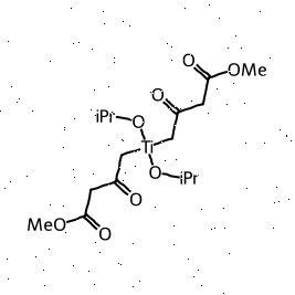 COC(=O)CC(=O)[CH2][Ti]([CH2]C(=O)CC(=O)OC)([O]C(C)C)[O]C(C)C